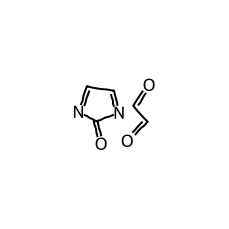 O=C1N=CC=N1.O=CC=O